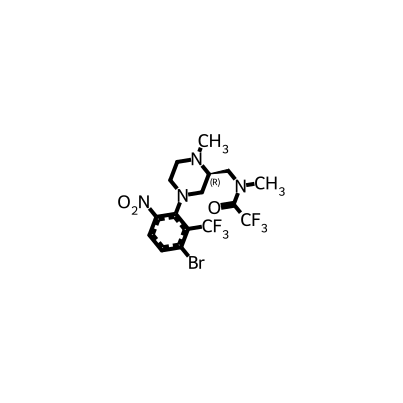 CN(C[C@H]1CN(c2c([N+](=O)[O-])ccc(Br)c2C(F)(F)F)CCN1C)C(=O)C(F)(F)F